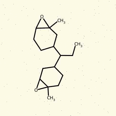 CCC(C1CCC2(C)OC2C1)C1CCC2OC2(C)C1